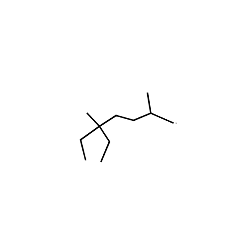 [CH2]C(C)CCC(C)(CC)CC